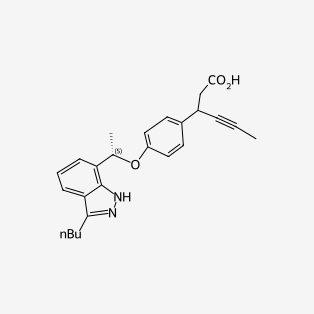 CC#CC(CC(=O)O)c1ccc(O[C@@H](C)c2cccc3c(CCCC)n[nH]c23)cc1